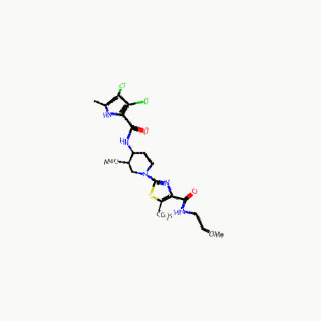 COCCNC(=O)c1nc(N2CCC(NC(=O)c3[nH]c(C)c(Cl)c3Cl)C(OC)C2)sc1C(=O)O